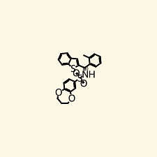 Cc1ccccc1[C@@H](NS(=O)(=O)c1ccc2c(c1)OCCCO2)c1cc2ccccc2s1